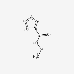 CCOC(=S)c1ccco1